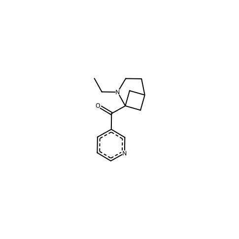 CCN1CCC2CC1(C(=O)c1cccnc1)C2